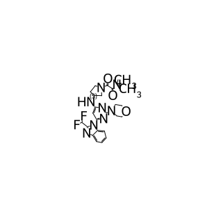 CN(C)C(=O)C(=O)N1CC[C@H](Nc2cc(-n3c(C(F)F)nc4ccccc43)nc(N3CCOCC3)n2)C1